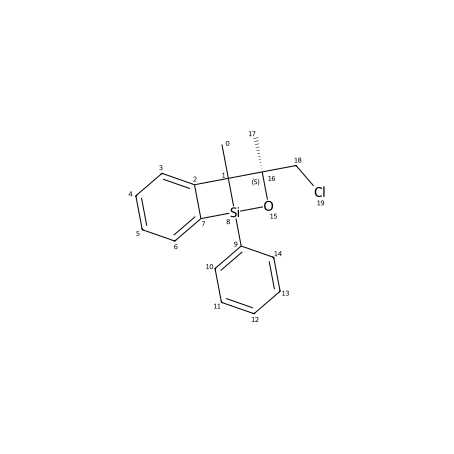 CC12c3ccccc3[Si]1(c1ccccc1)O[C@]2(C)CCl